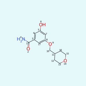 NC(=O)c1cc(O)cc(OCC2CCOCC2)c1